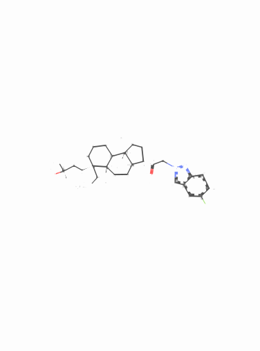 CC[C@](C)(O)CC[C@@]1(COC)CCC[C@@H]2[C@@H]1CC[C@]1(C)[C@@H](C(=O)Cn3cc4cc(F)ccc4n3)CC[C@@H]21